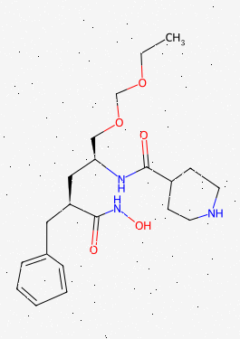 CCOCOC[C@H](C[C@H](Cc1ccccc1)C(=O)NO)NC(=O)C1CCNCC1